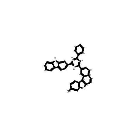 Clc1ccc2c(c1)oc1ccc3ccc(-c4nc(-c5ccccc5)nc(-c5ccc6c(c5)sc5ccccc56)n4)cc3c12